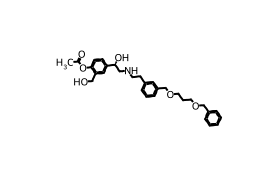 CC(=O)Oc1ccc([C@@H](O)CNCCc2cccc(COCCCOCc3ccccc3)c2)cc1CO